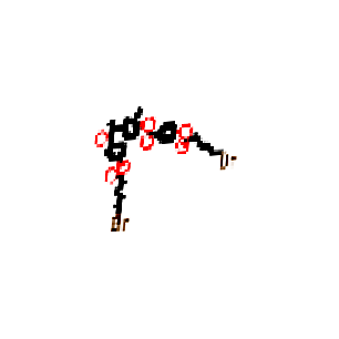 C=C(C(=O)c1ccc(OC(=O)CCCCCBr)cc1)c1ccc(OC(=O)c2ccc(OC(=O)CCCCCBr)cc2)c(C)c1